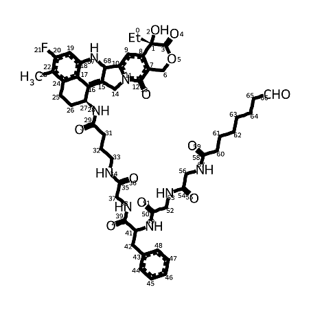 CC[C@@]1(O)C(=O)OCc2c1cc1n(c2=O)CC2=C3c4c(cc(F)c(C)c4CC[C@@H]3NC(=O)CCCNC(=O)CNC(=O)C(Cc3ccccc3)NC(=O)CNC(=O)CNC(=O)CCCCCCC=O)NC21